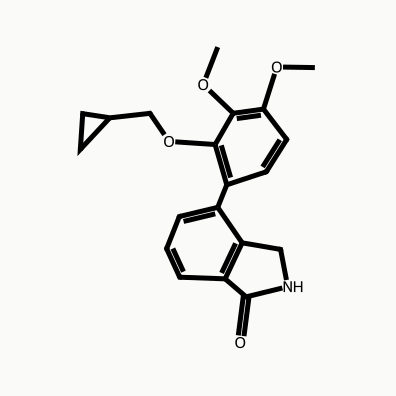 COc1ccc(-c2cccc3c2CNC3=O)c(OCC2CC2)c1OC